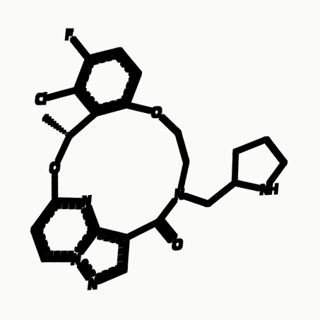 C[C@H]1Oc2ccn3ncc(c3n2)C(=O)N(CC2CCCN2)CCOc2ccc(F)c(Cl)c21